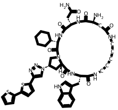 NC(=O)C[C@@H]1NC(=O)[C@@H](N)CC(=O)NCCCCCNC(=O)[C@H](Cc2c[nH]c3ccccc23)NC(=O)[C@@H]2C[C@H](n3cc(-c4ccc(-c5cccs5)s4)nn3)CN2C(=O)[C@H](C2CCCCC2)NC1=O